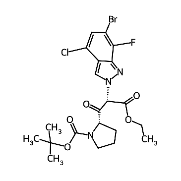 CCOC(=O)[C@H](C(=O)[C@@H]1CCCN1C(=O)OC(C)(C)C)n1cc2c(Cl)cc(Br)c(F)c2n1